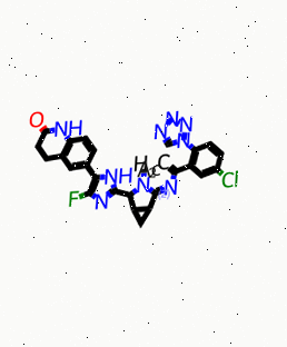 C=C(/N=C1/C2CC2C(c2nc(F)c(-c3ccc4c(c3)CCC(=O)N4)[nH]2)N1C(C)=O)c1cc(Cl)ccc1-n1cnnn1